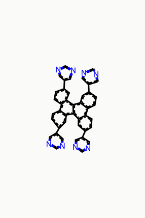 c1ncc(-c2ccc3c4ccc(-c5cncnc5)cc4c4c5cc(-c6cncnc6)ccc5c5ccc(-c6cncnc6)cc5c4c3c2)cn1